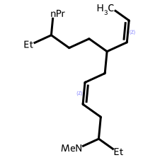 C/C=C\C(C/C=C\CC(CC)NC)CCC(CC)CCC